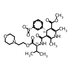 COC(=O)C1=C(C)NC(C)=C(C(=O)N[C@H](C(=O)OCCN2CCOCC2)C(C)C)[C@@H]1c1cccc([N+](=O)[O-])c1